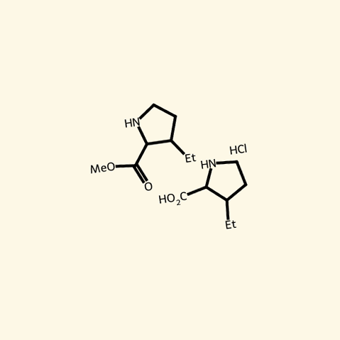 CCC1CCNC1C(=O)O.CCC1CCNC1C(=O)OC.Cl